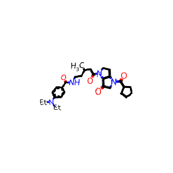 CCN(CC)c1ccc(C(=O)NCCC(C)CC(=O)N2CCC3C2C(=O)CN3C(=O)C2CCCC2)cc1